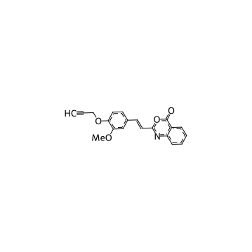 C#CCOc1ccc(/C=C/c2nc3ccccc3c(=O)o2)cc1OC